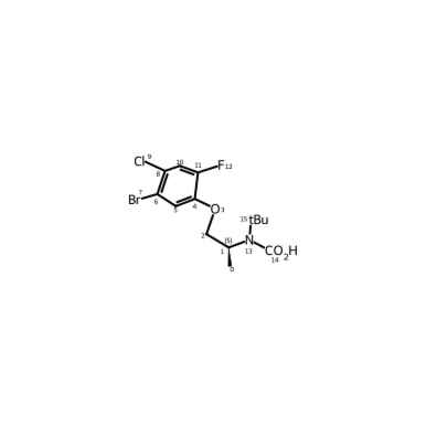 C[C@@H](COc1cc(Br)c(Cl)cc1F)N(C(=O)O)C(C)(C)C